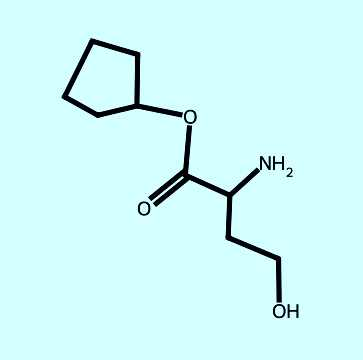 NC(CCO)C(=O)OC1CCCC1